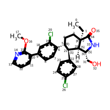 CC[C@@]12CC[C@@H](c3ccc(-c4cccnc4OC)cc3Cl)[C@H](c3ccc(Cl)cc3)[C@@H]1[C@@H](CO)NC2=O